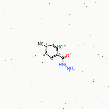 Cl.N#Cc1ccc(C(=O)NN)cc1